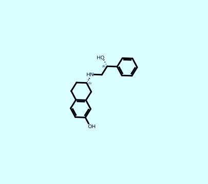 Oc1ccc2c(c1)C[C@@H](NC[C@H](O)c1ccccc1)CC2